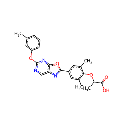 Cc1cccc(Oc2ncc3nc(-c4cc(C)c(OC(C)C(=O)O)c(C)c4)oc3n2)c1